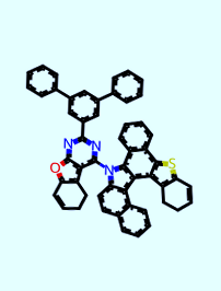 C1=Cc2oc3nc(-c4cc(-c5ccccc5)cc(-c5ccccc5)c4)nc(-n4c5ccc6ccccc6c5c5c6c7c(sc6c6ccccc6c54)C=CCC7)c3c2CC1